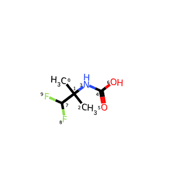 CC(C)(NC(=O)O)C(F)F